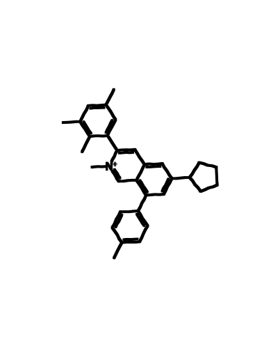 Cc1ccc(-c2cc(C3CCCC3)cc3cc(-c4cc(C)cc(C)c4C)[n+](C)cc23)cc1